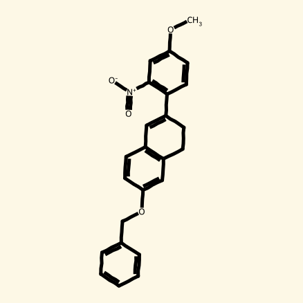 COc1ccc(C2=Cc3ccc(OCc4ccccc4)cc3CC2)c([N+](=O)[O-])c1